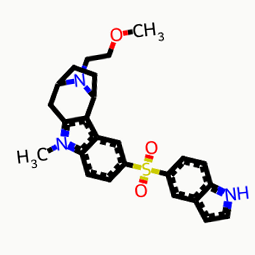 COCCN1C2CCC1c1c(n(C)c3ccc(S(=O)(=O)c4ccc5[nH]ccc5c4)cc13)C2